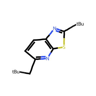 CC(C)(C)Cc1ccc2nc(C(C)(C)C)sc2n1